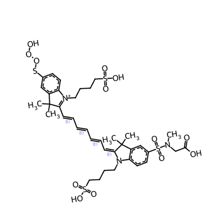 CN(CC(=O)O)S(=O)(=O)c1ccc2c(c1)C(C)(C)\C(=C/C=C/C=C/C=C/C1=[N+](CCCCS(=O)(=O)O)c3ccc(SOOO)cc3C1(C)C)N2CCCCS(=O)(=O)O